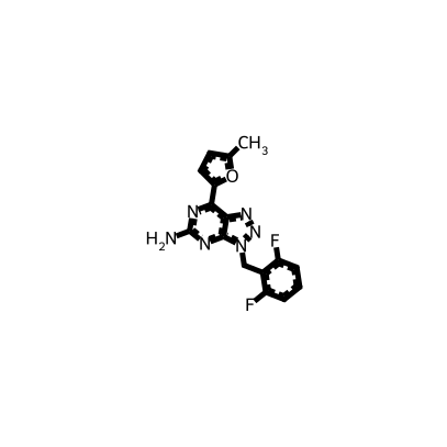 Cc1ccc(-c2nc(N)nc3c2nnn3Cc2c(F)cccc2F)o1